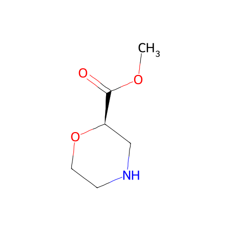 COC(=O)[C@H]1CNCCO1